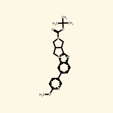 COc1ccc(-c2ccc3nc4n(c3c2)CC2CN(C(=O)OC(C)(C)C)CC42)cn1